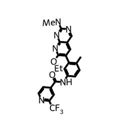 CCOc1nc2nc(NC)ncc2cc1-c1cc(NC(=O)c2ccnc(C(F)(F)F)c2)ccc1C